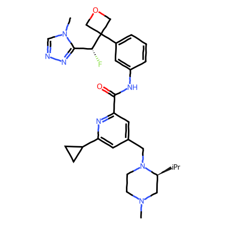 CC(C)[C@H]1CN(C)CCN1Cc1cc(C(=O)Nc2cccc(C3([C@H](F)c4nncn4C)COC3)c2)nc(C2CC2)c1